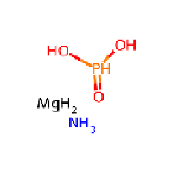 N.O=[PH](O)O.[MgH2]